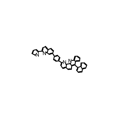 c1ccc(-c2ccc3ccc(-c4ccc(-c5ccc6ccc7c(-c8cccc9ccccc89)c8ccccc8nc7c6n5)cc4)cc3n2)nc1